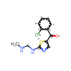 CNCNc1ncc(C(=O)c2ccccc2Cl)s1